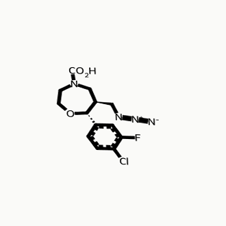 [N-]=[N+]=NC[C@@H]1CN(C(=O)O)CCO[C@H]1c1ccc(Cl)c(F)c1